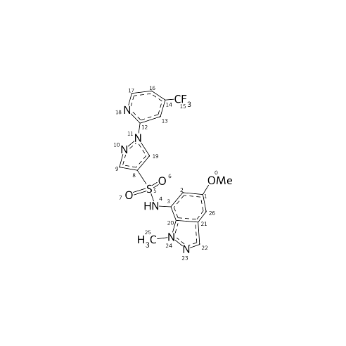 COc1cc(NS(=O)(=O)c2cnn(-c3cc(C(F)(F)F)ccn3)c2)c2c(cnn2C)c1